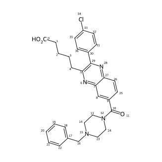 O=C(O)CCCCc1nc2cc(C(=O)N3CCN(Cc4ccccc4)CC3)ccc2nc1-c1ccc(Cl)cc1